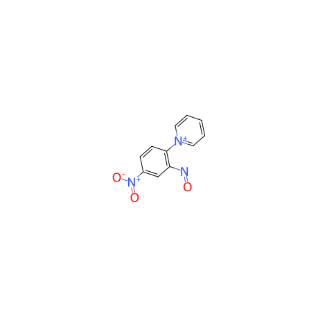 O=Nc1cc([N+](=O)[O-])ccc1-[n+]1ccccc1